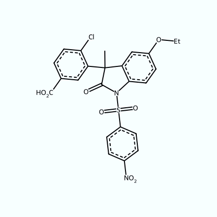 CCOc1ccc2c(c1)C(C)(c1cc(C(=O)O)ccc1Cl)C(=O)N2S(=O)(=O)c1ccc([N+](=O)[O-])cc1